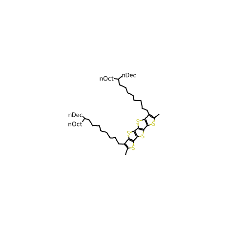 CCCCCCCCCCC(CCCCCCCC)CCCCCCCCc1c(C)sc2c1sc1c2sc2c3sc(C)c(CCCCCCCCC(CCCCCCCC)CCCCCCCCCC)c3sc21